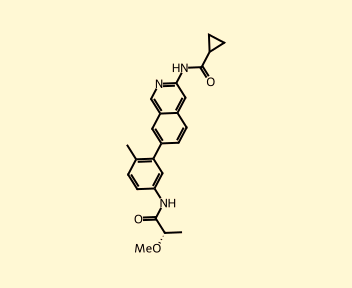 CO[C@@H](C)C(=O)Nc1ccc(C)c(-c2ccc3cc(NC(=O)C4CC4)ncc3c2)c1